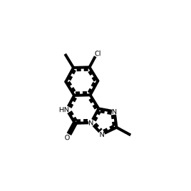 Cc1nc2c3cc(Cl)c(C)cc3[nH]c(=O)n2n1